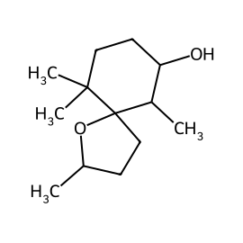 CC1CCC2(O1)C(C)C(O)CCC2(C)C